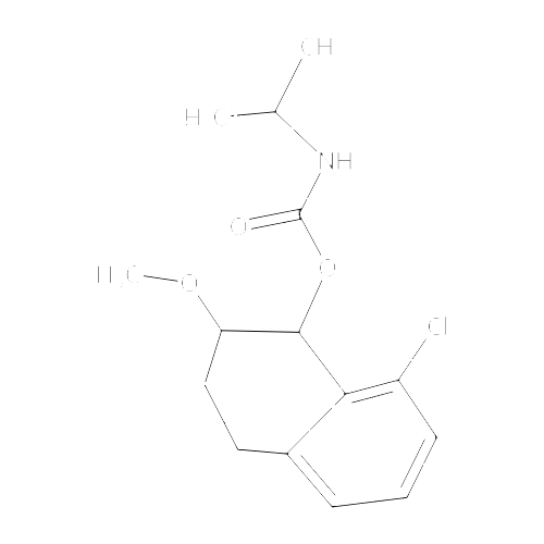 COC1CCc2cccc(Cl)c2C1OC(=O)NC(C)C